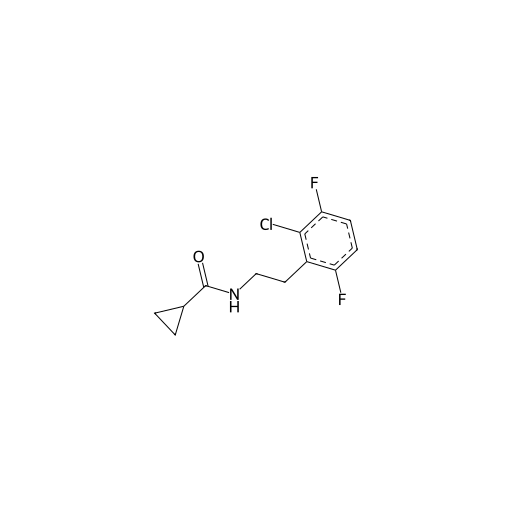 O=C(NCCc1c(F)ccc(F)c1Cl)C1CC1